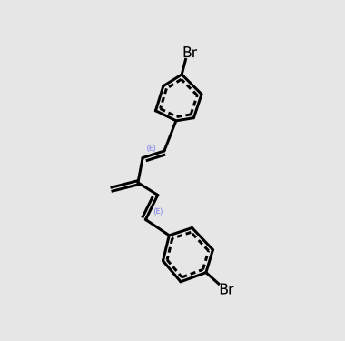 C=C(/C=C/c1ccc(Br)cc1)/C=C/c1ccc(Br)cc1